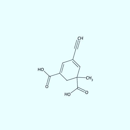 C#CC1=CC(C)(C(=O)O)CC(C(=O)O)=C1